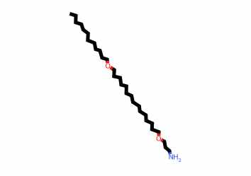 CCCCCCCCCCCCOCCCCCCCCCCCCCCCOCCCN